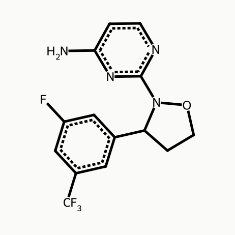 Nc1ccnc(N2OCCC2c2cc(F)cc(C(F)(F)F)c2)n1